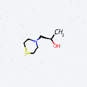 CC(O)CN1CCSCC1